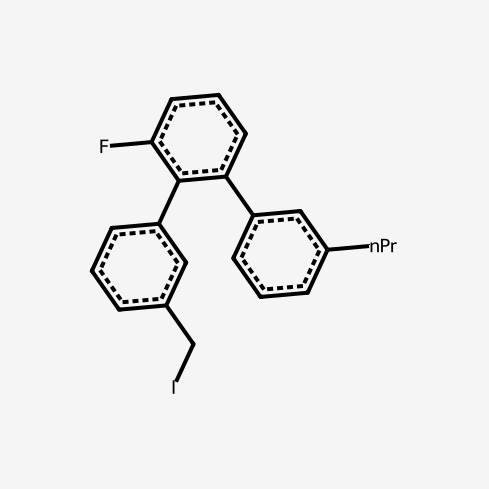 CCCc1cccc(-c2cccc(F)c2-c2cccc(CI)c2)c1